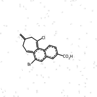 C=C1CC=c2c(Br)cc3cc(C(=O)O)ccc3c2=C(Cl)C1